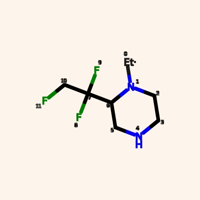 C[CH]N1CCNCC1C(F)(F)CF